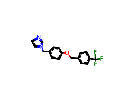 FC(F)(F)c1ccc(COc2ccc(Cn3ccnc3)cc2)cc1